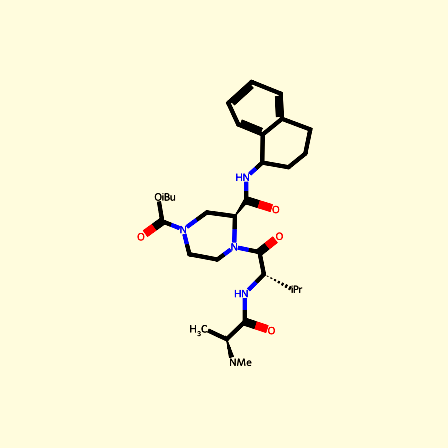 CN[C@@H](C)C(=O)N[C@H](C(=O)N1CCN(C(=O)OCC(C)C)C[C@H]1C(=O)NC1CCCc2ccccc21)C(C)C